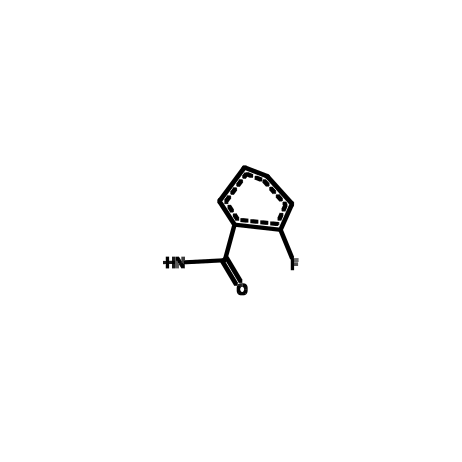 [NH]C(=O)c1ccccc1F